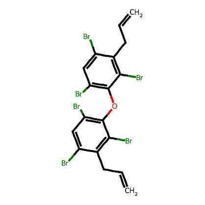 C=CCc1c(Br)cc(Br)c(Oc2c(Br)cc(Br)c(CC=C)c2Br)c1Br